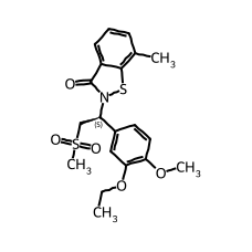 CCOc1cc([C@@H](CS(C)(=O)=O)n2sc3c(C)cccc3c2=O)ccc1OC